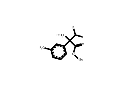 CCOC(=O)C(C(=O)OC(C)(C)C)(c1cccc(C(F)(F)F)c1)C(F)F